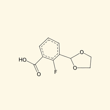 O=C(O)c1cccc(C2OCCO2)c1F